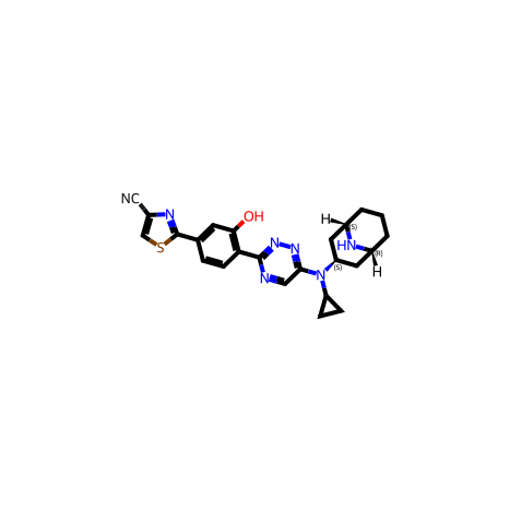 N#Cc1csc(-c2ccc(-c3ncc(N(C4CC4)[C@@H]4C[C@H]5CCC[C@@H](C4)N5)nn3)c(O)c2)n1